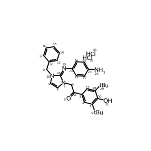 CC(C)(C)c1cc(C(=O)Cn2ccn(Cc3ccccc3)c2=Nc2ccc(N)cc2)cc(C(C)(C)C)c1O.Cl.Cl